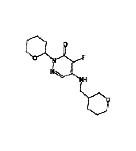 O=c1c(F)c(NCC2CCCOC2)cnn1C1CCCCO1